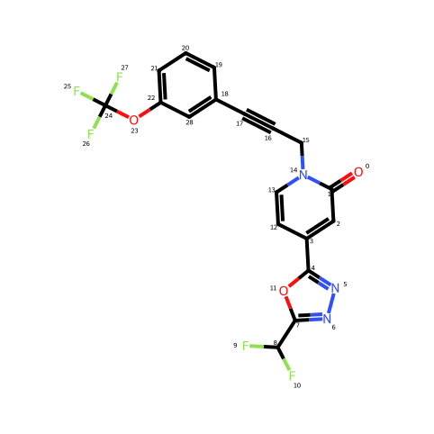 O=c1cc(-c2nnc(C(F)F)o2)ccn1CC#Cc1cccc(OC(F)(F)F)c1